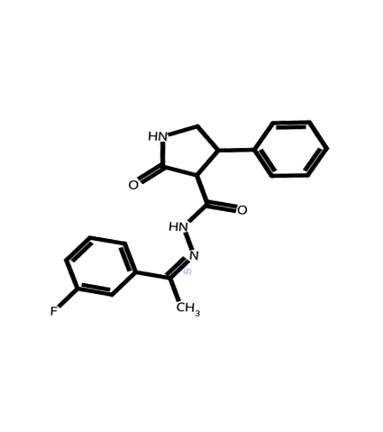 C/C(=N/NC(=O)C1C(=O)NCC1c1ccccc1)c1cccc(F)c1